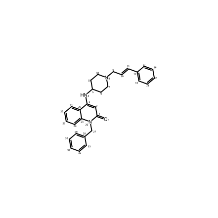 O=c1cc(NC2CCN(CC=Cc3ccccc3)CC2)c2ccccc2n1Cc1ccccc1